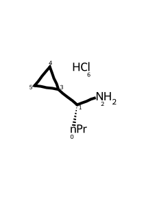 CCC[C@@H](N)C1CC1.Cl